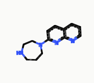 c1cnc2nc(N3CCCNCC3)ccc2c1